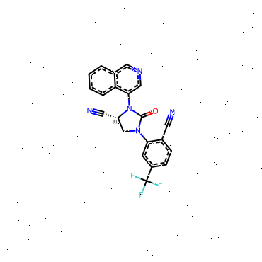 N#Cc1ccc(C(F)(F)F)cc1N1C[C@H](C#N)N(c2cncc3ccccc23)C1=O